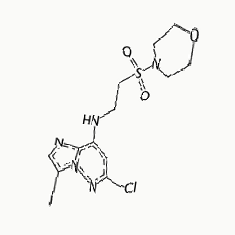 O=S(=O)(CCNc1cc(Cl)nn2c(I)cnc12)N1CCOCC1